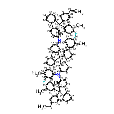 C=Cc1ccc(C2(c3cc(C)ccc3C)c3ccccc3-c3ccc(N(C4=CC5C(C=C4)c4ccccc4C54c5ccccc5-c5ccc(N(c6ccc(C)c(F)c6)c6ccc7c(c6)C(c6ccc(C=C)cc6)(c6cc(C)ccc6C)c6ccccc6-7)cc54)c4ccc(C)c(F)c4)cc32)cc1